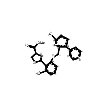 COC(=O)C1CSC(c2c(O)cccc2OCc2nc(C(C)=O)ccc2-c2ccncc2)N1